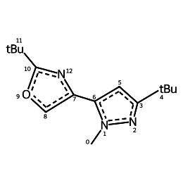 Cn1nc(C(C)(C)C)cc1-c1coc(C(C)(C)C)n1